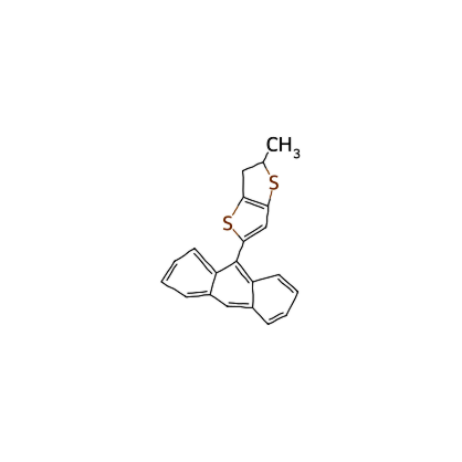 CC1Cc2sc(-c3c4ccccc4cc4ccccc34)cc2S1